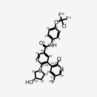 O=C(Nc1ccc(OC(F)(F)Cl)cc1)c1cnc(N2CC[C@@H](O)C2)c(-c2cc(F)cnc2Cl)c1